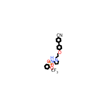 N#Cc1ccc(-c2ccc(OCCCN3CCCC3NS(=O)(=O)c3ccccc3OC(F)(F)F)cc2)cc1